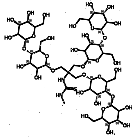 CNC(=S)NC(CO[C@@H]1OC(CO)[C@@H](O[C@@H]2OC(CO)[C@H](O)[C@H](O)C2O)[C@H](O)C1O)(CO[C@@H]1OC(CO)[C@@H](O[C@@H]2OC(CO)[C@H](O)[C@H](O)C2O)[C@H](O)C1O)CO[C@@H]1OC(CO)[C@@H](O[C@@H]2OC(CO)[C@H](O)[C@H](O)C2O)[C@H](O)C1O